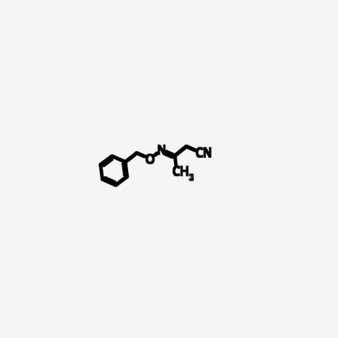 C/C(CC#N)=N\OCc1ccccc1